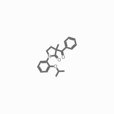 CC(C)Oc1ccccc1N1CCC(C)(C(=O)c2ccccc2)C1=O